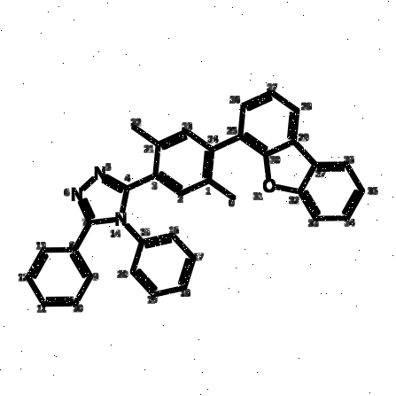 Cc1cc(-c2nnc(-c3ccccc3)n2-c2ccccc2)c(C)cc1-c1cccc2c1oc1ccccc12